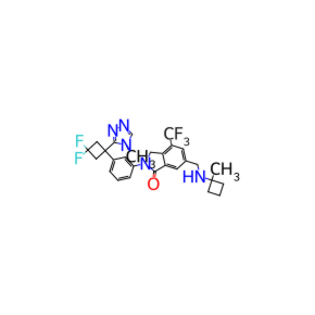 Cn1cnnc1C1(c2cccc(N3Cc4c(cc(CNC5(C)CCC5)cc4C(F)(F)F)C3=O)c2)CC(F)(F)C1